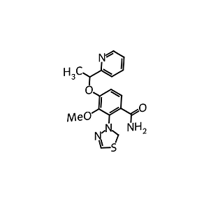 COc1c(OC(C)c2ccccn2)ccc(C(N)=O)c1N1CSC=N1